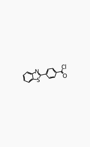 O=C(Cl)c1ccc(-c2nc3ccccc3s2)cc1